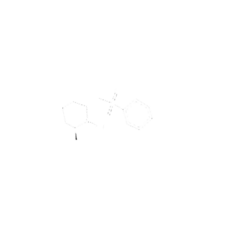 CC[C@H]1CCC[C@H](CS(=O)(=O)c2ccccc2)N1C